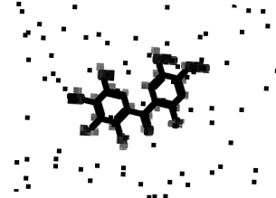 COc1cc(Br)c(C(=O)c2cc(O)c(O)c(Br)c2Br)cc1OC